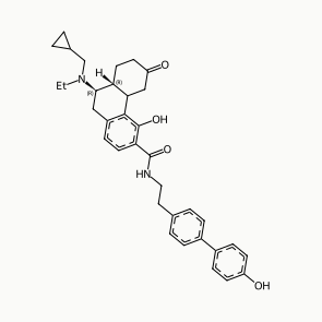 CCN(CC1CC1)[C@@H]1Cc2ccc(C(=O)NCCc3ccc(-c4ccc(O)cc4)cc3)c(O)c2C2CC(=O)CC[C@H]21